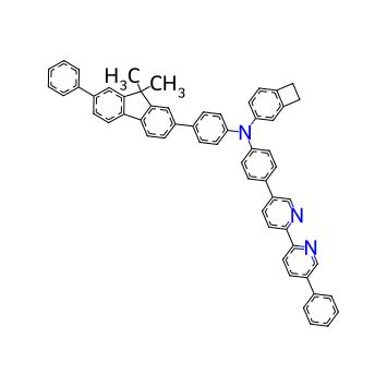 CC1(C)c2cc(-c3ccccc3)ccc2-c2ccc(-c3ccc(N(c4ccc(-c5ccc(-c6ccc(-c7ccccc7)cn6)nc5)cc4)c4ccc5c(c4)CC5)cc3)cc21